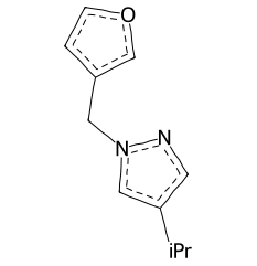 CC(C)c1cnn(Cc2ccoc2)c1